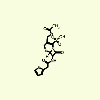 CC(=O)OCC1=C(S(=O)(=O)O)N2C(=O)[C@@H](NC(=O)Cc3cccs3)[C@@H]2SC1